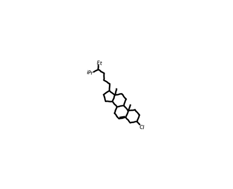 CCC(CCCC1CCC2C3CC=C4CC(Cl)CCC4(C)C3CCC12C)C(C)C